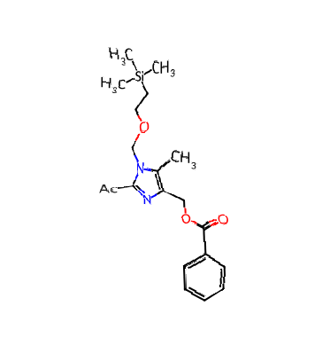 CC(=O)c1nc(COC(=O)c2ccccc2)c(C)n1COCC[Si](C)(C)C